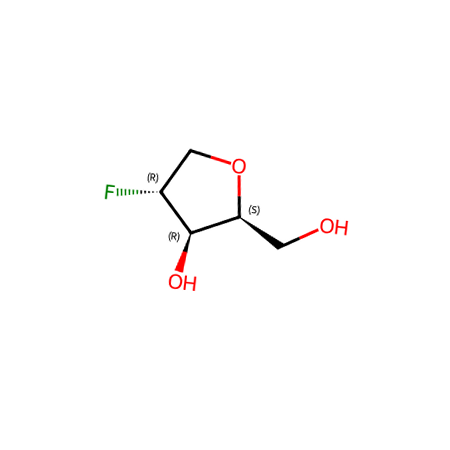 OC[C@@H]1OC[C@@H](F)[C@@H]1O